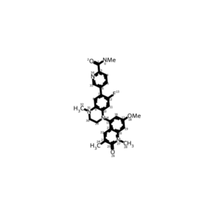 CNC(=O)c1ccc(-c2cc3c(cc2F)N(c2cc(OC)cc4c2cc(C)c(=O)n4C)CCN3C)cn1